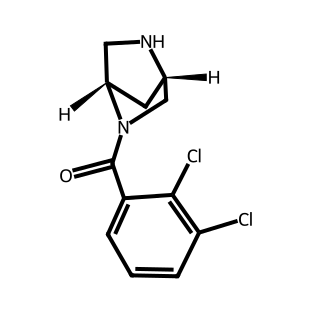 O=C(c1cccc(Cl)c1Cl)N1C[C@@H]2C[C@H]1CN2